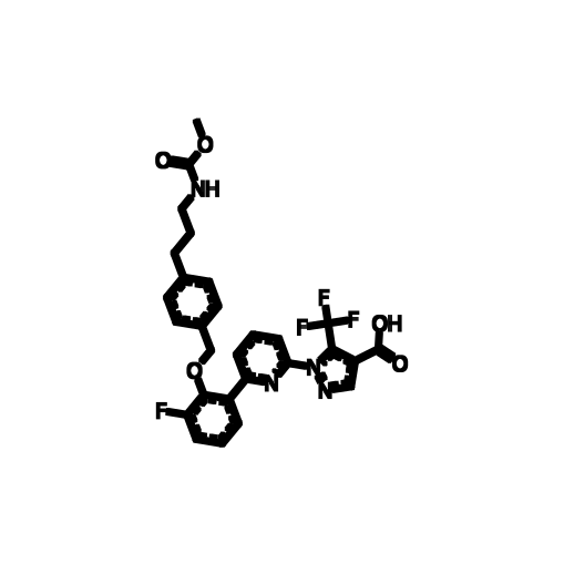 COC(=O)NCCCc1ccc(COc2c(F)cccc2-c2cccc(-n3ncc(C(=O)O)c3C(F)(F)F)n2)cc1